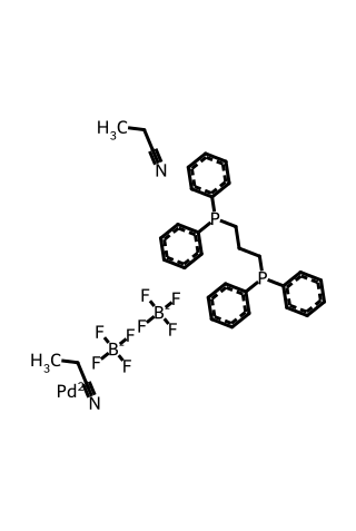 CCC#N.CCC#N.F[B-](F)(F)F.F[B-](F)(F)F.[Pd+2].c1ccc(P(CCCP(c2ccccc2)c2ccccc2)c2ccccc2)cc1